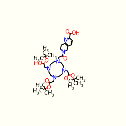 CC(C)(C)OC(=O)CN1CCN(CC(=O)OC(C)(C)C)CCN(CC(O)OC(C)(C)C)CCN(CC(=O)N2CCc3nc(C(=O)O)ccc3C2)CC1